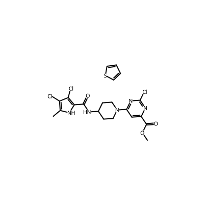 COC(=O)c1cc(N2CCC(NC(=O)c3[nH]c(C)c(Cl)c3Cl)CC2)nc(Cl)n1.c1ccsc1